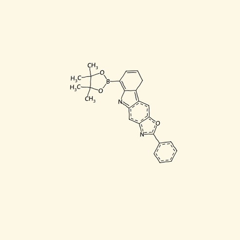 CC1(C)OB(C2=C3N=c4cc5nc(-c6ccccc6)oc5cc4=C3CC=C2)OC1(C)C